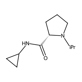 CC(C)N1CCC[C@H]1C(=O)NC1CC1